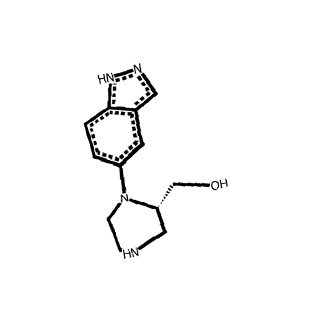 OC[C@@H]1CNCCN1c1ccc2[nH]ncc2c1